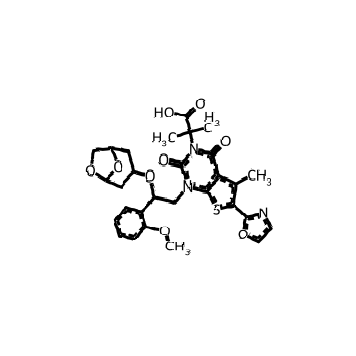 COc1ccccc1C(Cn1c(=O)n(C(C)(C)C(=O)O)c(=O)c2c(C)c(-c3ncco3)sc21)OC1CC2COC(C1)O2